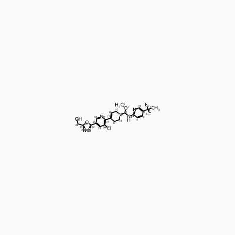 COC(Nc1ccc(C(C)(F)F)cn1)N1CC=C(c2ncc(-c3nnc(CO)o3)cc2Cl)CC1